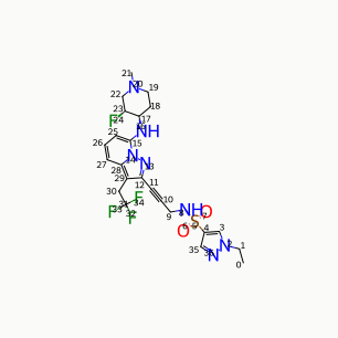 CCn1cc(S(=O)(=O)NCC#Cc2nn3c(N[C@@H]4CCN(C)C[C@@H]4F)cccc3c2CC(F)(F)F)cn1